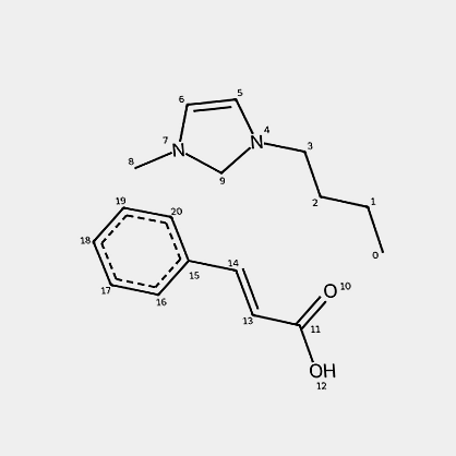 CCCCN1C=CN(C)C1.O=C(O)C=Cc1ccccc1